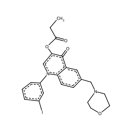 CCC(=O)Oc1cn(-c2cccc(I)c2)c2ccc(CN3CCOCC3)cc2c1=O